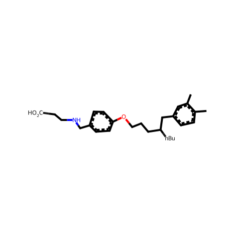 CCCCC(CCCOc1ccc(CNCCC(=O)O)cc1)Cc1ccc(C)c(C)c1